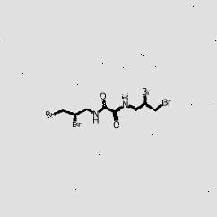 O=C(NCC(Br)CBr)C(=O)NCC(Br)CBr